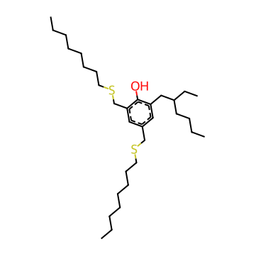 CCCCCCCCSCc1cc(CSCCCCCCCC)c(O)c(CC(CC)CCCC)c1